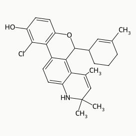 CC1=CC(C2Oc3ccc(O)c(Cl)c3-c3ccc4c(c32)C(C)=CC(C)(C)N4)CCC1